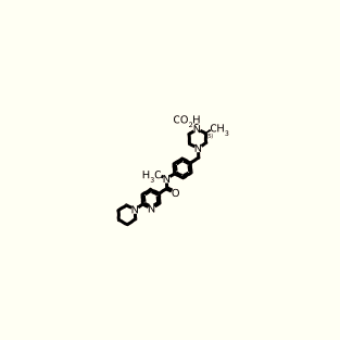 C[C@H]1CN(Cc2ccc(N(C)C(=O)c3ccc(N4CCCCC4)nc3)cc2)CCN1C(=O)O